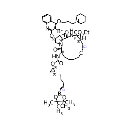 CCOC(=O)[C@@]12C[C@H]1/C=C\CCCCC[C@H](NC(=O)O[C@@H]1C[C@H]1CCC/C=C/B1OC(C)(C)C(C)(C)O1)C(=O)N1C[C@H](Oc3nc4ccccc4c(OCCCN4CCCCC4)c3Br)C[C@H]1C(=O)N2